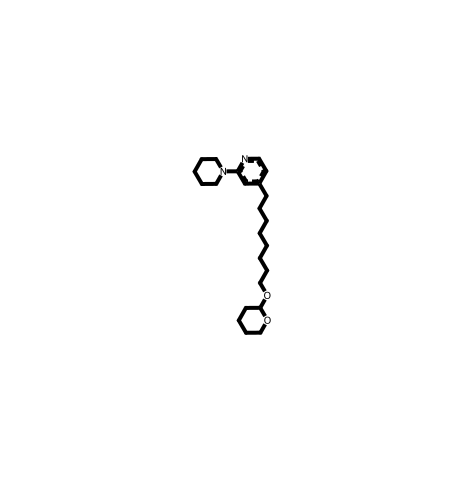 c1cc(CCCCCCCCOC2CCCCO2)cc(N2CCCCC2)n1